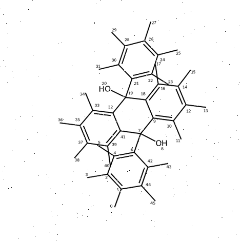 Cc1c(C)c(C)c(C2(O)c3c(C)c(C)c(C)c(C)c3C(O)(c3c(C)c(C)c(C)c(C)c3C)c3c(C)c(C)c(C)c(C)c32)c(C)c1C